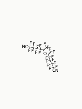 N#CC(F)(F)C(F)(F)C(F)(F)C(F)(F)C(OC(=C(F)F)C(F)(F)C(F)(F)C(F)(F)C(F)(F)C#N)=C(F)F